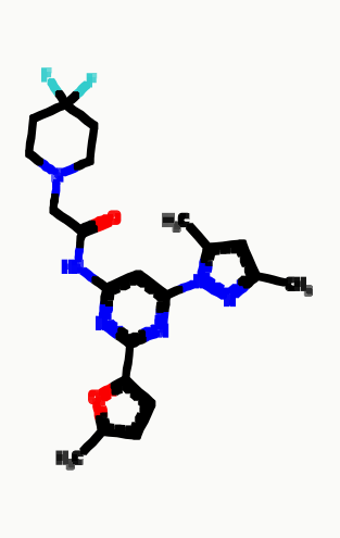 Cc1cc(C)n(-c2cc(NC(=O)CN3CCC(F)(F)CC3)nc(-c3ccc(C)o3)n2)n1